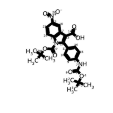 CC(C)(C)OC(=O)Nc1ccc(-c2c(C(=O)O)c3cc([N+](=O)[O-])ccc3n2C(=O)OC(C)(C)C)cc1